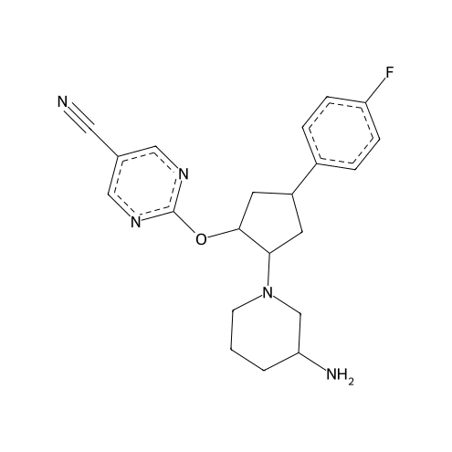 N#Cc1cnc(OC2CC(c3ccc(F)cc3)CC2N2CCCC(N)C2)nc1